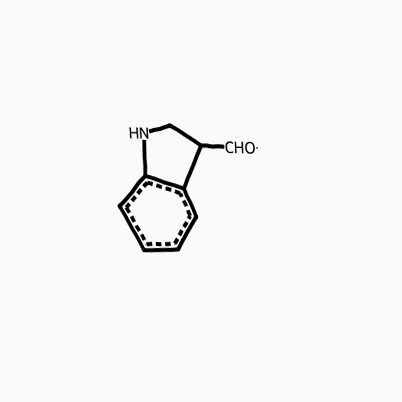 O=[C]C1CNc2ccccc21